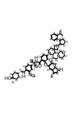 CC(C)c1ccccc1[C@H]1CCC[C@H]1N1CC2(CCN(c3ccc(C(=O)NS(=O)(=O)c4ccc(NC[C@H]5CC[C@](C)(O)CC5)c(N=O)c4)c(Oc4cc5c(F)c[nH]c5nc4OCCN4CCOCC4)c3)CC2)C1